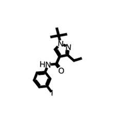 CCc1nn(C(C)(C)C)cc1C(=O)Nc1cccc(I)c1